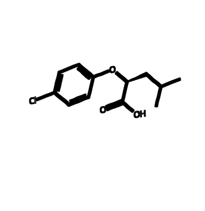 CC(C)C[C@H](Oc1ccc(Cl)cc1)C(=O)O